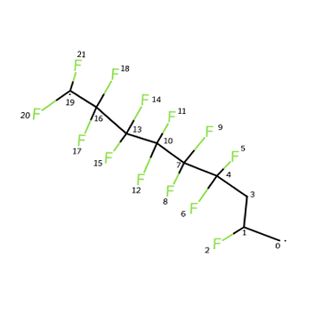 [CH2]C(F)CC(F)(F)C(F)(F)C(F)(F)C(F)(F)C(F)(F)[C](F)F